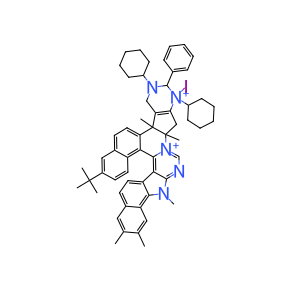 Cc1cc2ccc3c4c5[n+](cnc4n(C)c3c2cc1C)C1(C)CC2=C(CN(C3CCCCC3)C(c3ccccc3)[N+]2(I)C2CCCCC2)C1(C)c1ccc2cc(C(C)(C)C)ccc2c1-5